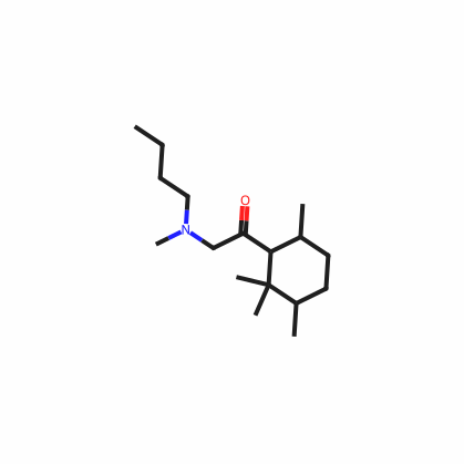 CCCCN(C)CC(=O)C1C(C)CCC(C)C1(C)C